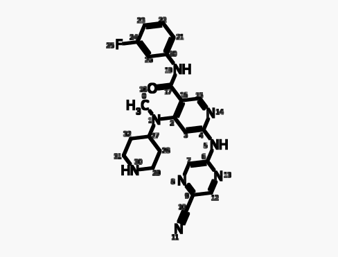 CN(c1cc(Nc2cnc(C#N)cn2)ncc1C(=O)Nc1cccc(F)c1)C1CCNCC1